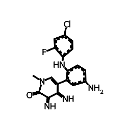 CN1C=C(c2cc(N)ccc2Nc2ccc(Cl)cc2F)C(=N)C(=N)C1=O